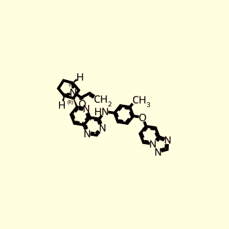 C=CC(=O)N1[C@@H]2CC[C@H]1[C@H](c1ccc3ncnc(Nc4ccc(Oc5ccn6ncnc6c5)c(C)c4)c3n1)C2